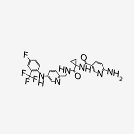 Nc1ccc(C(=O)NC2(C(=O)NCc3ccc(Nc4ccc(F)cc4C(F)(F)F)cn3)CC2)cn1